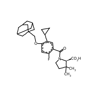 CC1(C)CCN(C(=O)c2cc(C3CC3)c(OCC34CC5CC(CC(C5)C3)C4)cc2F)[C@H]1C(=O)O